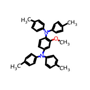 COc1cc(N(c2ccc(C)cc2)c2ccc(C)cc2)ccc1N(c1ccc(C)cc1)c1ccc(C)cc1